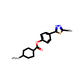 CCCCCC1CCC(C(=O)Oc2ccc(-c3nnc(C(C)CC)s3)cc2)CC1